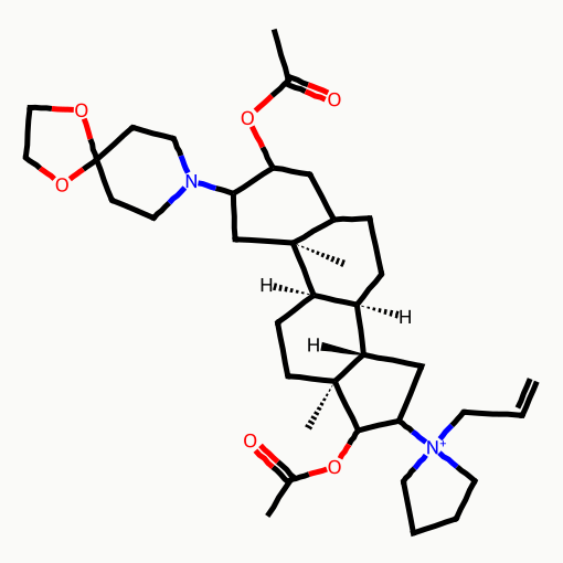 C=CC[N+]1(C2C[C@H]3[C@@H]4CCC5CC(OC(C)=O)C(N6CCC7(CC6)OCCO7)C[C@]5(C)[C@@H]4CC[C@]3(C)C2OC(C)=O)CCCC1